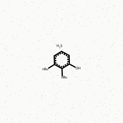 CCCCc1cccc(O)c1CCCC.S